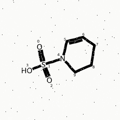 O=S(=O)(O)N1C=CCCC1